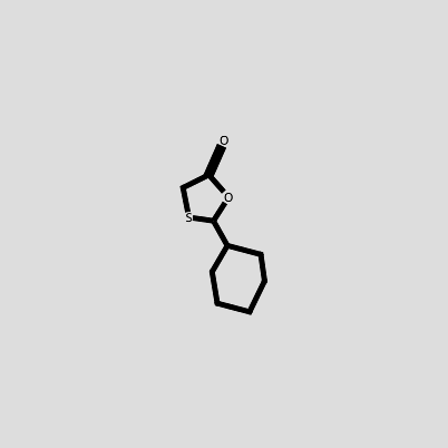 O=C1CSC(C2CCCCC2)O1